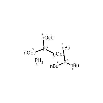 CCCCCCCCP(CCCCCCCC)CCCCCCCC.CCCCP(CCCC)CCCC.P